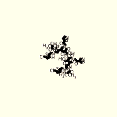 CC(C)(C)C(=O)n1nc(-c2cn(CC(=O)c3cnsc3)c(=O)cc2C(=O)O)cc1NCc1ccc(Cl)s1.Cc1c(-c2cc(NCc3ccc(Cl)s3)n(C(=O)C(C)(C)C)n2)cn(CC(=O)c2ccns2)c(=O)c1C(=O)O